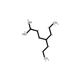 CCCC(CCC)CCC(O)O